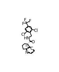 O=C(NCc1c(Cl)cc(C(F)(F)F)cc1Cl)[C@H]1CCCc2ncccc21